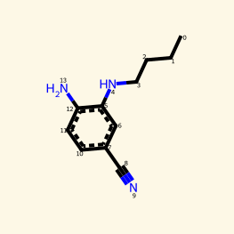 CCCCNc1cc(C#N)ccc1N